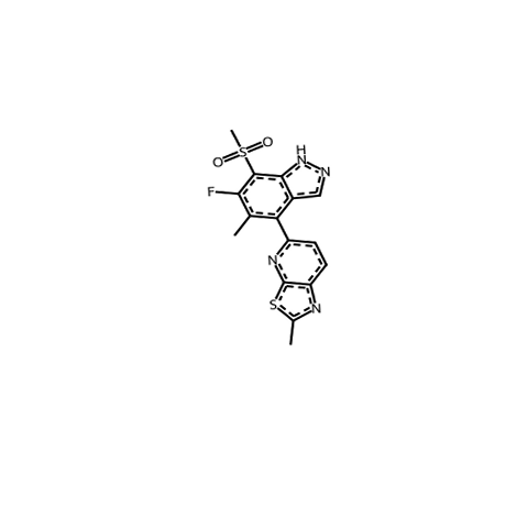 Cc1nc2ccc(-c3c(C)c(F)c(S(C)(=O)=O)c4[nH]ncc34)nc2s1